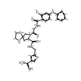 N=C(N)c1csc(CNC(=O)C2CC3(CN2C(=O)CNC(=O)c2ccc(Oc4ccccc4)cc2F)OCCO3)c1